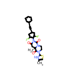 CC1=CSC(N2CCN3C(=O)N(c4c(F)cc(C#Cc5ccccc5)cc4F)C(=O)CC3(C)C2=O)N1